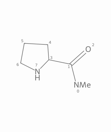 CNC(=O)C1CCCN1